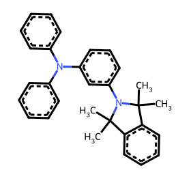 CC1(C)c2ccccc2C(C)(C)N1c1cccc(N(c2ccccc2)c2ccccc2)c1